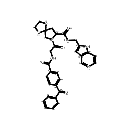 O=C(NCC(=O)N1CC2(CC1C(=O)NCc1cc3cnccc3[nH]1)OCCO2)c1ccc(C(=O)c2ccccc2)cc1